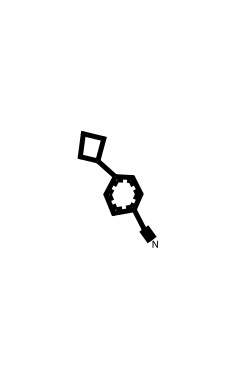 N#Cc1ccc(C2CCC2)cc1